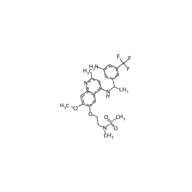 COc1cc2nc(C)cc(NC(C)c3cc(N)cc(C(F)(F)F)c3)c2cc1OCCN(C)S(C)(=O)=O